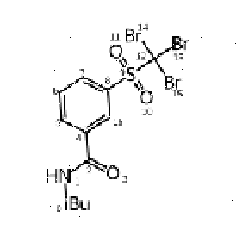 CCC(C)NC(=O)c1cccc(S(=O)(=O)C(Br)(Br)Br)c1